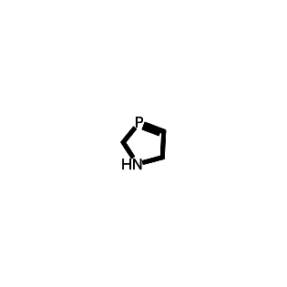 C1=PCNC1